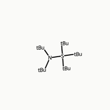 CC(C)(C)N(C(C)(C)C)S(C(C)(C)C)(C(C)(C)C)C(C)(C)C